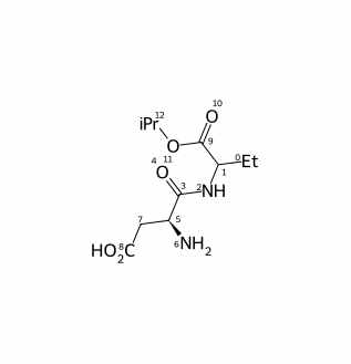 CCC(NC(=O)[C@@H](N)CC(=O)O)C(=O)OC(C)C